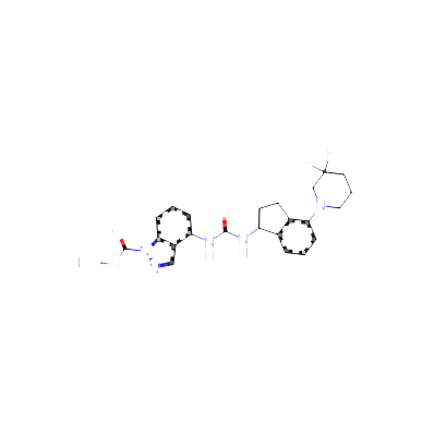 COC(=O)n1ncc2c(NC(=O)NC3CCc4c3cccc4N3CCCC(F)(F)C3)cccc21